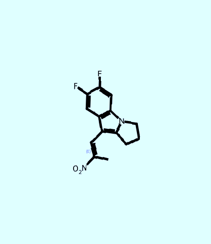 C/C(=C\c1c2n(c3cc(F)c(F)cc13)CCC2)[N+](=O)[O-]